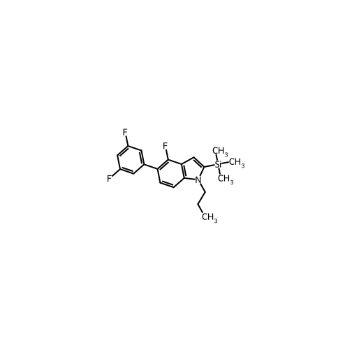 CCCn1c([Si](C)(C)C)cc2c(F)c(-c3cc(F)cc(F)c3)ccc21